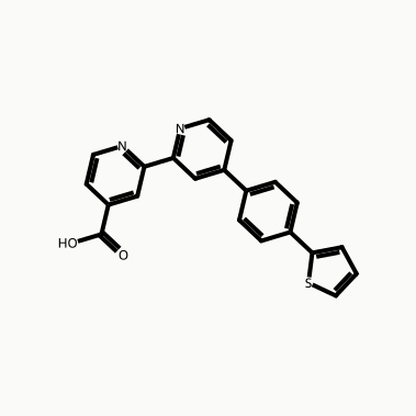 O=C(O)c1ccnc(-c2cc(-c3ccc(-c4cccs4)cc3)ccn2)c1